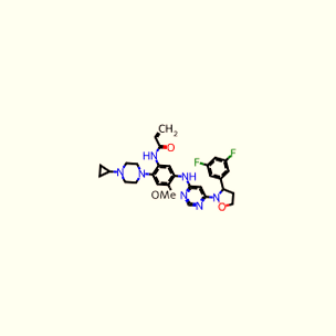 C=CC(=O)Nc1cc(Nc2cc(N3OCCC3c3cc(F)cc(F)c3)ncn2)c(OC)cc1N1CCN(C2CC2)CC1